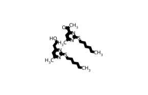 CCCCCCSc1nc(C)cc(C(C)=O)n1.CCCCCCSc1nc(C)cc(CCO)n1